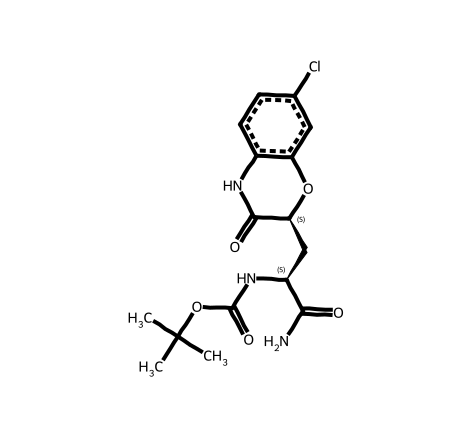 CC(C)(C)OC(=O)N[C@@H](C[C@@H]1Oc2cc(Cl)ccc2NC1=O)C(N)=O